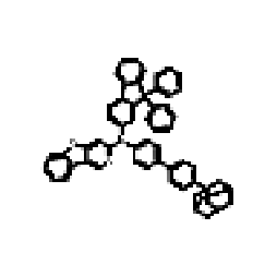 c1ccc(C2(c3ccccc3)c3ccccc3-c3ccc(N(c4ccc(-c5ccc(C67CC8CC(CC(C8)C6)C7)cc5)cc4)c4cc5sc6ccccc6c5cn4)cc32)cc1